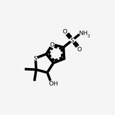 CC1(C)Sc2oc(S(N)(=O)=O)cc2C1O